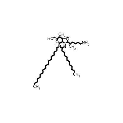 CCCCCCCCCCCCCCCCCCN(C(=O)CCCCCCCCCCC)[C@@H]1O[C@H](CO)[C@@H](O)[C@H](O)[C@H]1NC(=O)[C@@H](N)CCCCN